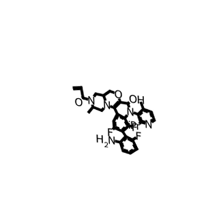 C=CC(=O)N1CC2COC3=C(c4cc(F)c(-c5c(N)cccc5F)c(F)c4N(c4c(C)ccnc4C(C)C)C3O)N2CC1C